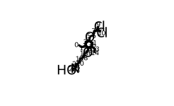 CCc1cc(OCC=C(Cl)Cl)cc(CC)c1OCCCCC=NO